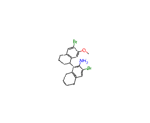 COc1cc2c(cc1Br)CCCC2c1c(N)c(Br)cc2c1CCCC2